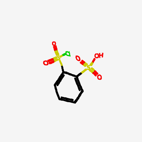 O=S(=O)(O)c1ccccc1S(=O)(=O)Cl